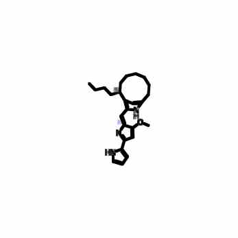 CCCC[C@H]1CCCCCCc2cc1c(/C=C1/N=C(c3ccc[nH]3)C=C1OC)[nH]2